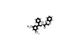 Cc1cc(C(CNC(=O)C2COc3ccccc3O2)c2ccccc2)cc(C(F)(F)F)c1